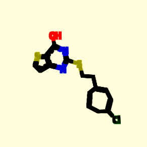 Oc1nc(SCCC2=CC=C(Cl)CC=C2)nc2ccsc12